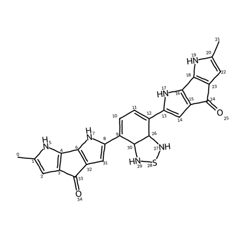 Cc1cc2c([nH]1)-c1[nH]c(C3=CC=C(c4cc5c([nH]4)-c4[nH]c(C)cc4C5=O)C4NSNC34)cc1C2=O